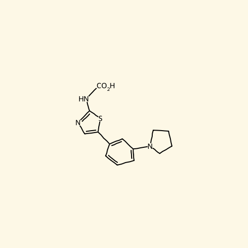 O=C(O)Nc1ncc(-c2cccc(N3CCCC3)c2)s1